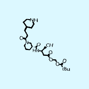 C#CC(CC(=O)OCOC(=O)C(C)(C)C)NC(=O)[C@@H]1CCCN(C(=O)CCC2CCNCC2)C1